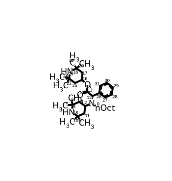 CCCCCCCCN(C1CC(C)(C)NC(C)(C)C1)[C@H](C(=O)OC1CC(C)(C)NC(C)(C)C1)c1ccccc1